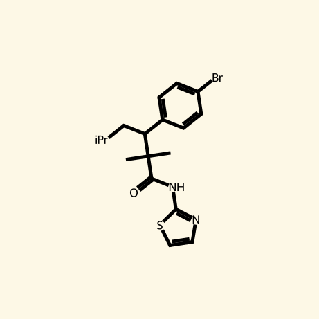 CC(C)CC(c1ccc(Br)cc1)C(C)(C)C(=O)Nc1nccs1